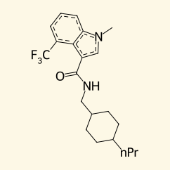 CCCC1CCC(CNC(=O)c2cn(C)c3cccc(C(F)(F)F)c23)CC1